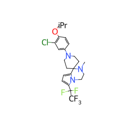 CC(C)Oc1ccc(N2CCC3(CC2)c2ccc(C(F)(F)C(F)(F)F)n2CCN3C)cc1Cl